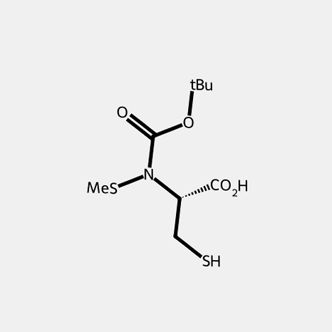 CSN(C(=O)OC(C)(C)C)[C@@H](CS)C(=O)O